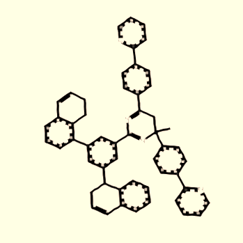 CC1(c2ccc(-c3ccccn3)cc2)CC(c2ccc(-c3ccccn3)cc2)=NC(c2cc(-c3cccc4c3CCC=C4)cc(C3CC=Cc4ccccc43)c2)=N1